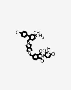 CC1(C)CCC(CN2CC3CN(Cc4ccc5c(c4)C(=O)N(C4CCC(=O)NC4=O)C5=O)CC3C2)=C(c2ccc(Cl)cc2)C1